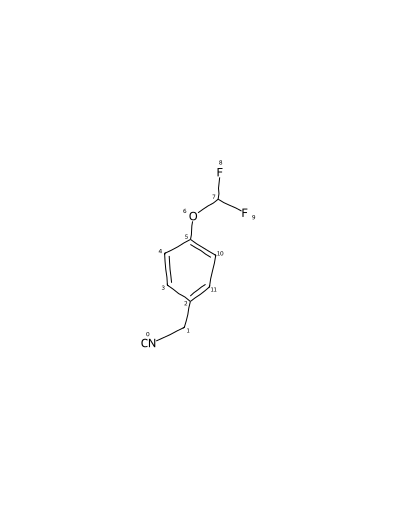 [C-]#[N+]Cc1ccc(OC(F)F)cc1